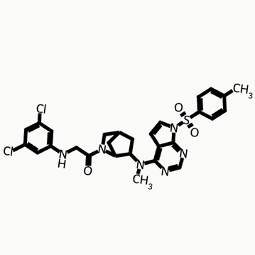 Cc1ccc(S(=O)(=O)n2ccc3c(N(C)C4CC5CC4N(C(=O)CNc4cc(Cl)cc(Cl)c4)C5)ncnc32)cc1